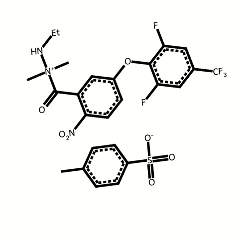 CCN[N+](C)(C)C(=O)c1cc(Oc2c(F)cc(C(F)(F)F)cc2F)ccc1[N+](=O)[O-].Cc1ccc(S(=O)(=O)[O-])cc1